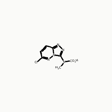 CN(C(=O)O)c1nnc2ccc(Cl)nn12